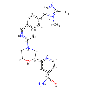 Cc1ncc(-c2ccc3cnc(N4CCOC(c5cc(C(N)=O)ccn5)C4)cc3c2)n1C